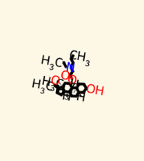 CCCN(CCC)CC(=O)O[C@H]1C[C@]2(C)C(C(C)=O)=CC[C@H]2[C@@H]2CC[C@H]3C[C@@H](O)CC[C@]3(C)[C@H]21